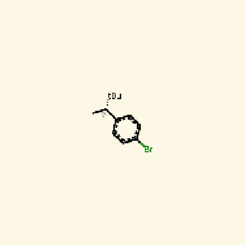 C[C@@H](c1ccc(Br)cc1)C(C)(C)C